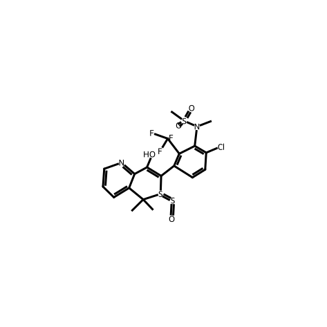 CN(c1c(Cl)ccc(C2=C(O)c3ncccc3C(C)(C)S2=S=O)c1C(F)(F)F)S(C)(=O)=O